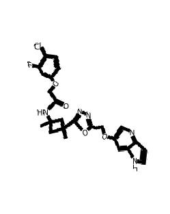 CC1(NC(=O)COc2ccc(Cl)c(F)c2)CC(C)(c2nnc(COc3cnc4cc[nH]c4c3)o2)C1